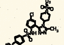 Cc1nnc(-c2cc(Cl)ccc2NS(=O)(=O)c2ccc(C(C)(C)C)cc2)n1C1CCN(S(C)(=O)=O)CC1